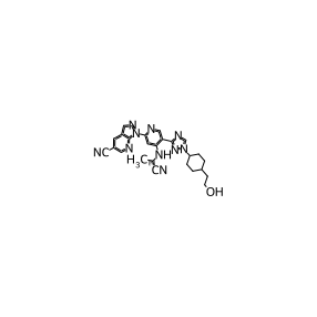 C[C@H](C#N)Nc1cc(-n2ncc3cc(C#N)cnc32)ncc1-c1ncn(C2CCC(CCO)CC2)n1